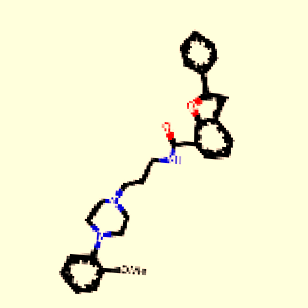 COc1ccccc1N1CCN(CCCNC(=O)c2cccc3cc(-c4ccccc4)oc23)CC1